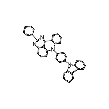 c1ccc(-c2nc3c4c(cccc4n2)N(c2ccc(-n4c5ccccc5c5ccccc54)cc2)c2ccccc2-3)cc1